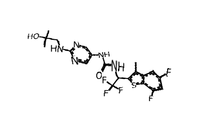 Cc1c(C(NC(=O)Nc2cnc(NCC(C)(C)O)nc2)C(F)(F)F)sc2c(F)cc(F)cc12